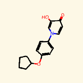 O=c1ccn(-c2ccc(OC3CCCC3)cc2)cc1O